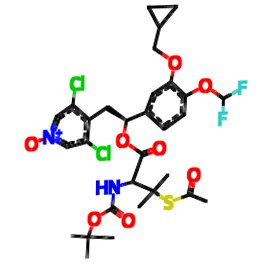 CC(=O)SC(C)(C)C(NC(=O)OC(C)(C)C)C(=O)O[C@@H](Cc1c(Cl)c[n+]([O-])cc1Cl)c1ccc(OC(F)F)c(OCC2CC2)c1